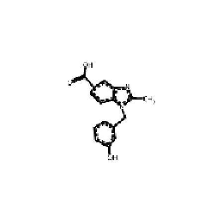 Cc1nc2cc(C(=O)O)ccc2n1Cc1cccc(O)c1